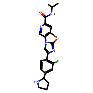 CC(C)NC(=O)c1cc2sc3nc(-c4ccc(C5CCCN5)cc4F)cn3c2cn1